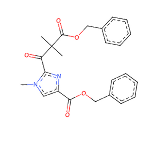 Cn1cc(C(=O)OCc2ccccc2)nc1C(=O)C(C)(C)C(=O)OCc1ccccc1